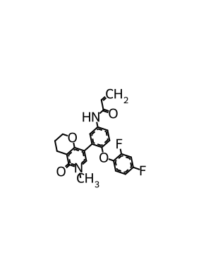 C=CC(=O)Nc1ccc(Oc2ccc(F)cc2F)c(-c2cn(C)c(=O)c3c2OCCC3)c1